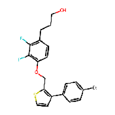 CCc1ccc(-c2ccsc2COc2ccc(CCCO)c(F)c2F)cc1